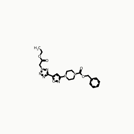 CCOC(=O)Cn1nnc(-c2cc(N3CCN(C(=O)OCc4ccccc4)CC3)no2)n1